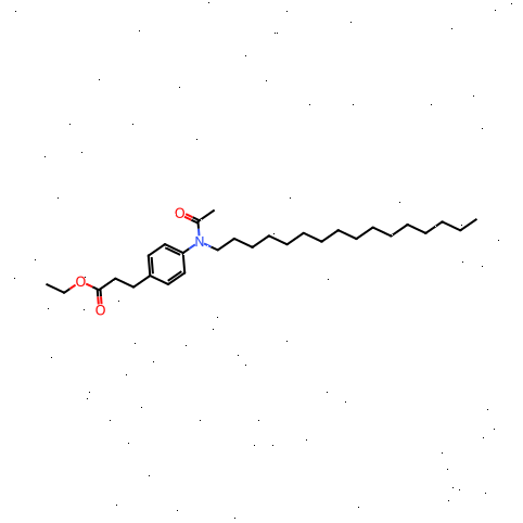 CCCCCCCCCCCCCCCCN(C(C)=O)c1ccc(CCC(=O)OCC)cc1